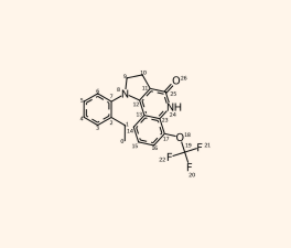 CCc1ccccc1N1CCc2c1c1cccc(OC(F)(F)F)c1[nH]c2=O